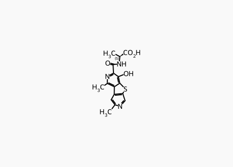 Cc1cc2c(cn1)sc1c(O)c(C(=O)N[C@@H](C)C(=O)O)nc(C)c12